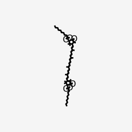 CCCCCCCCCC(=O)O[C@H]1CC(C)(C)C(/C=C/C(C)=C/C=C/C(C)=C/C=C/C=C(C)/C=C/C=C(C)/C=C/C2C(C)C(=O)[C@@H](OC(=O)CCCCCCCCC)CC2(C)C)=C(C)C1=O